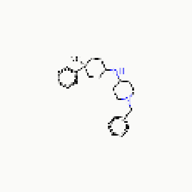 N#CC1(c2ccccc2)CCC(NC2CCN(Cc3ccccc3)CC2)CC1